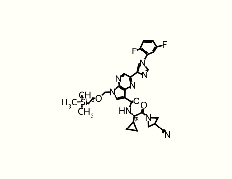 C[Si](C)(C)CCOCn1cc(C(=O)N[C@@H](C(=O)N2CC(C#N)C2)C2CC2)c2nc(-c3cn(-c4cc(F)ccc4F)cn3)cnc21